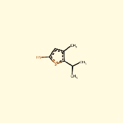 Cc1cc(S)sc1C(C)C